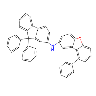 c1ccc(-c2cccc3oc4ccc(Nc5ccc6c(c5)C(c5ccccc5)(c5ccccc5)c5ccccc5-6)cc4c23)cc1